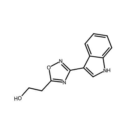 OCCc1nc(-c2c[nH]c3ccccc23)no1